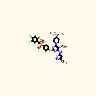 COc1c(Nc2cc(C)[nH]n2)nc(Sc2ccc(S(=O)(=O)C(C)(C)c3c(F)c(F)c(F)c(F)c3F)cc2F)nc1N1CCC(N(C)C)CC1